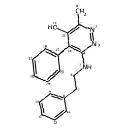 Cc1nnc(NCCc2ccccc2)c(-c2ccccc2)c1O